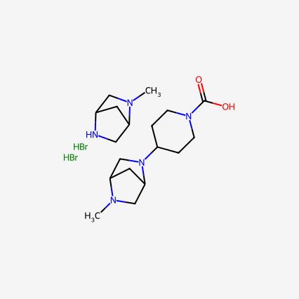 Br.Br.CN1CC2CC1CN2.CN1CC2CC1CN2C1CCN(C(=O)O)CC1